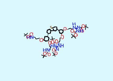 CC(C)(C)OC(=O)/N=C(/NCCCOc1cc(OCCCN/C(=N/C(=O)OC(C)(C)C)NC(=O)OC(C)(C)C)cc(-c2ccc3sc4ccc(-c5cc(OCCCNC(=O)OC(C)(C)C)cc(OCCCNC(=O)OC(C)(C)C)c5)cc4c3c2)c1)NC(=O)OC(C)(C)C